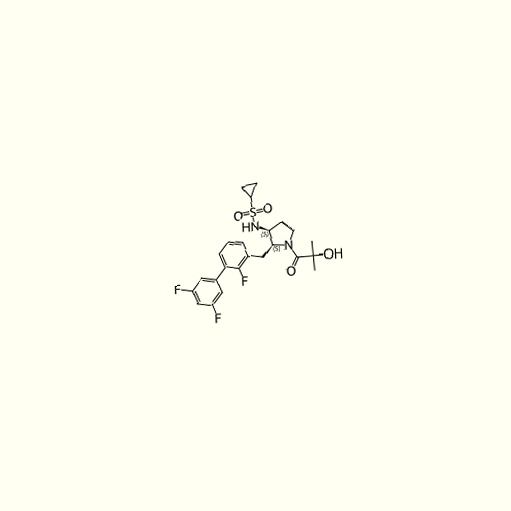 CC(C)(O)C(=O)N1CC[C@H](NS(=O)(=O)C2CC2)[C@@H]1Cc1cccc(-c2cc(F)cc(F)c2)c1F